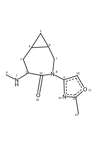 CNC1CC2CC2CN(c2coc(C)n2)C1=O